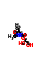 CCC(CNC(=O)OCC(O)CO)C(=O)NC